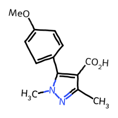 COc1ccc(-c2c(C(=O)O)c(C)nn2C)cc1